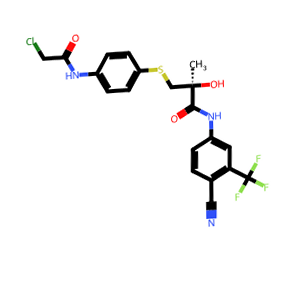 C[C@@](O)(CSc1ccc(NC(=O)CCl)cc1)C(=O)Nc1ccc(C#N)c(C(F)(F)F)c1